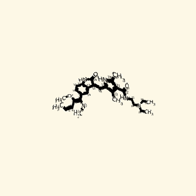 C=N/C(=C(\C=C/C)OC)c1ccc2c(c1)/C(=C/c1[nH]c(C)c(C(=O)NCCN(CC)CC)c1C)C(=O)N2